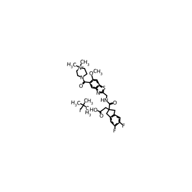 CC(C)(C)I.COc1cc2sc(CNC(=O)C3(CC(=O)O)Cc4cc(F)c(F)cc4C3)nc2cc1C(=O)N1CC[N+](C)(C)CC1